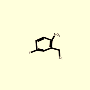 CC(=O)Cc1cc(F)ccc1[N+](=O)[O-]